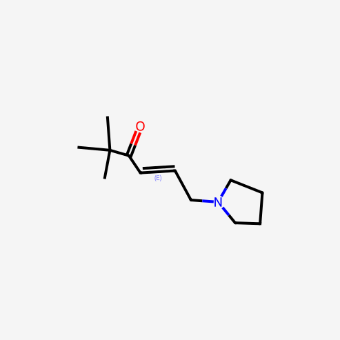 CC(C)(C)C(=O)/C=C/CN1CCCC1